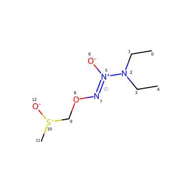 CCN(CC)/[N+]([O-])=N/OC[S+](C)[O-]